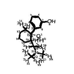 [2H]O[C@@]1(c2cccc(O)c2)C([2H])([2H])CCC[C@@]1([2H])C([2H])([2H])N(C([2H])([2H])[2H])C([2H])([2H])[2H]